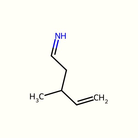 C=CC(C)CC=N